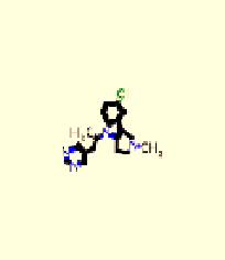 CC(Cc1cncnc1)n1c2c(c3cc(Cl)ccc31)CN(C)CC2